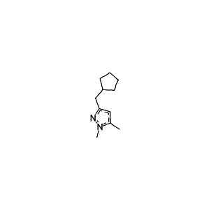 Cc1cc(CC2CCCC2)nn1C